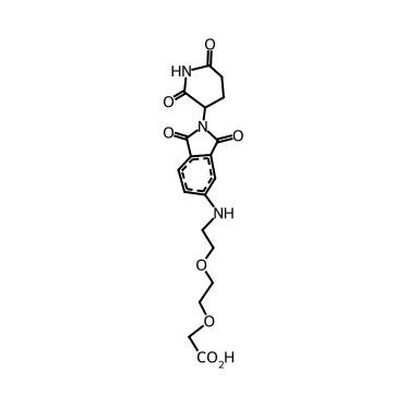 O=C(O)COCCOCCNc1ccc2c(c1)C(=O)N(C1CCC(=O)NC1=O)C2=O